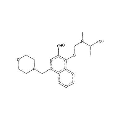 CCCCC(C)N(C)COc1c(C=O)cc(CN2CCOCC2)c2ccccc12